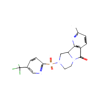 Cc1ccc2c(n1)C1CN(S(=O)(=O)c3ccc(C(F)(F)F)cn3)CCN1C2=O